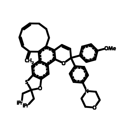 C=C1/C=C\C=C/CCCc2c3c(c4cc5c(cc4c21)SC(CC(C)C)(CC(C)C)O5)OC(c1ccc(OC)cc1)(c1ccc(N2CCOCC2)cc1)C=C3